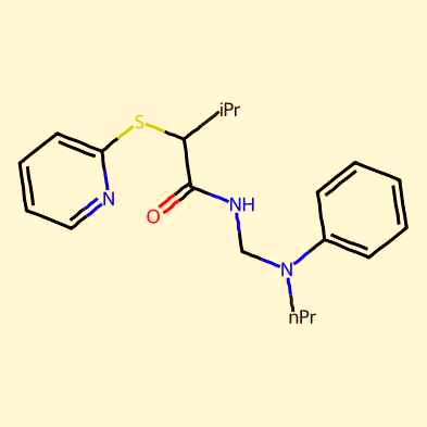 CCCN(CNC(=O)C(Sc1ccccn1)C(C)C)c1ccccc1